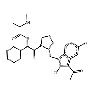 CNC(C)C(=O)NC(C(=O)N1CCCC1Cn1c(Cl)c(C(C)=O)c2cc(Cl)ccc21)C1CCCCC1